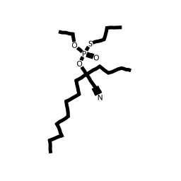 CCCCCCCCC(C#N)(CCCC)OP(=O)(OCC)SCCC